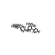 Fc1cnc(-c2cc(Nc3ncc(C4=NNNN4)cn3)cc3[nH]cnc23)c(F)c1